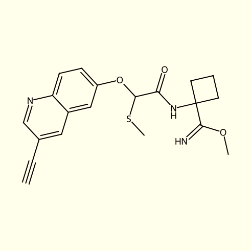 C#Cc1cnc2ccc(OC(SC)C(=O)NC3(C(=N)OC)CCC3)cc2c1